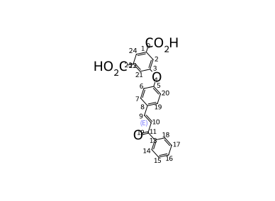 O=C(O)c1cc(Oc2ccc(/C=C/C(=O)c3ccccc3)cc2)cc(C(=O)O)c1